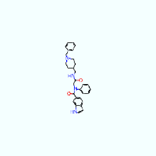 O=C(CN(C(=O)c1ccc2cc[nH]c2c1)c1ccccc1)NCC1CCN(Cc2ccccc2)CC1